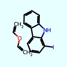 C=COC=C.Ic1cccc2c1[nH]c1ccccc12